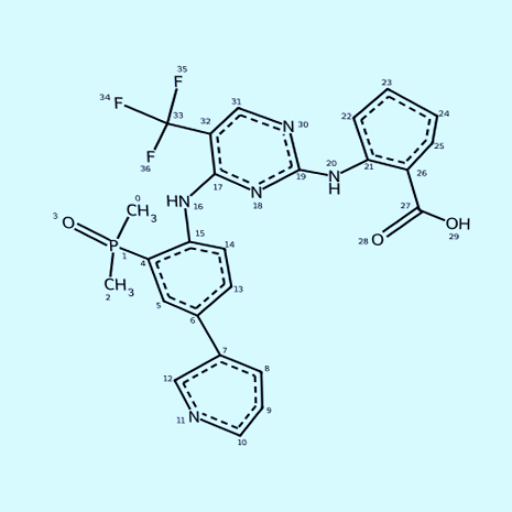 CP(C)(=O)c1cc(-c2cccnc2)ccc1Nc1nc(Nc2ccccc2C(=O)O)ncc1C(F)(F)F